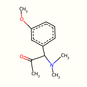 COc1cccc(C(C(C)=O)N(C)C)c1